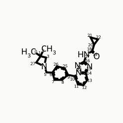 CC1(C)CN(Cc2ccc(-c3cccc4nc(NC(=O)C5CC5)nn34)cc2)C1